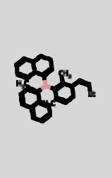 CC/C=C\C1CC=C(C)C(B(C2=CCCC3C=CC=CC23)c2c(C)ccc3ccccc23)=C1C